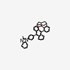 Cc1nc2ccccc2n1-c1ccc(-c2c3ccccc3c(-c3cccc4c3C3CC5CC4CC3C5)c3ccccc23)cc1